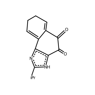 CC(C)c1nc2c([nH]1)C(=O)C(=O)C1=CCCC=C12